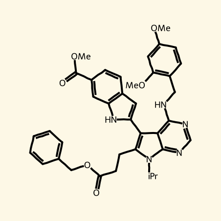 COC(=O)c1ccc2cc(-c3c(CCC(=O)OCc4ccccc4)n(C(C)C)c4ncnc(NCc5ccc(OC)cc5OC)c34)[nH]c2c1